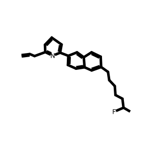 C=CCc1cccc(-c2ccc3cc(CCCCCC(C)F)ccc3c2)n1